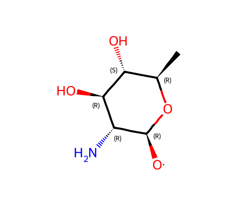 C[C@H]1O[C@@H]([O])[C@H](N)[C@@H](O)[C@@H]1O